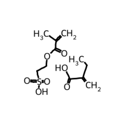 C=C(C)C(=O)OCCS(=O)(=O)O.C=C(CC)C(=O)O